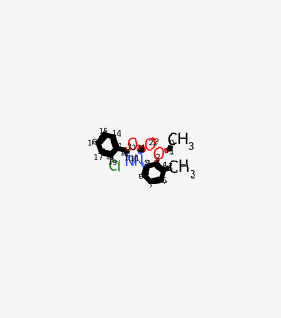 CCOc1c(C)cccc1-n1nc(-c2ccccc2Cl)oc1=O